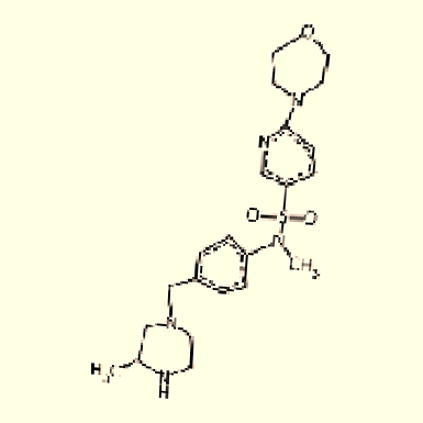 C[C@H]1CN(Cc2ccc(N(C)S(=O)(=O)c3ccc(N4CCOCC4)nc3)cc2)CCN1